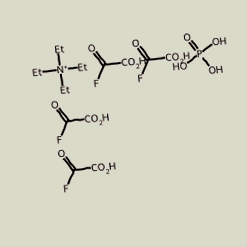 CC[N+](CC)(CC)CC.O=C(O)C(=O)F.O=C(O)C(=O)F.O=C(O)C(=O)F.O=C(O)C(=O)F.O=P(O)(O)O